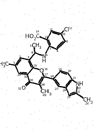 Cc1cc(C(C)Nc2ccc(Cl)cc2C(=O)O)c2oc(-c3ccc4[nH]c(C)cc4c3)c(C)c(=O)c2c1